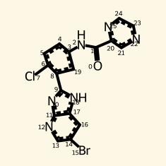 O=C(Nc1ccc(Cl)c(-c2nc3ncc(Br)cc3[nH]2)c1)c1cnccn1